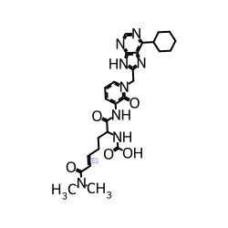 CN(C)C(=O)/C=C/CCC(NC(=O)O)C(=O)Nc1cccn(Cc2nc3c(C4CCCCC4)ncnc3[nH]2)c1=O